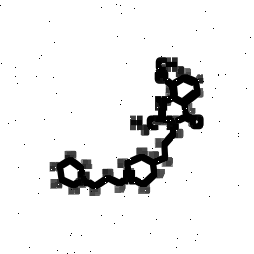 COc1cccc2c(=O)n(CCCC3CCN(CCCN4CCCCC4)CC3)c(C)nc12